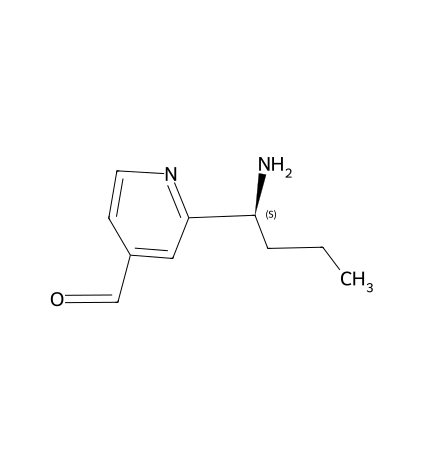 CCC[C@H](N)c1cc(C=O)ccn1